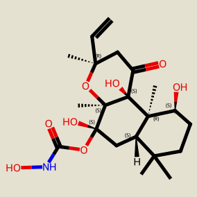 C=C[C@@]1(C)CC(=O)[C@]2(O)[C@@]3(C)[C@@H](O)CCC(C)(C)[C@@H]3C[C@](O)(OC(=O)NO)[C@@]2(C)O1